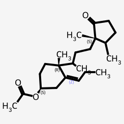 CC/C=C1/C[C@@H](OC(C)=O)CC[C@]1(C)C(C)CC[C@]1(C)C(=O)CCC1C